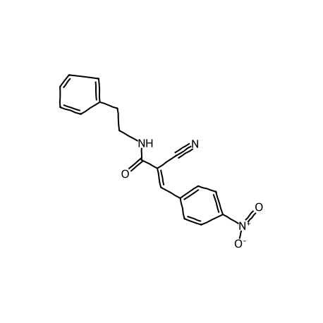 N#C/C(=C\c1ccc([N+](=O)[O-])cc1)C(=O)NCCc1ccccc1